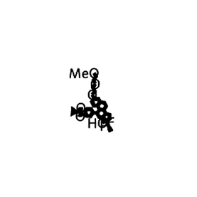 C#CC(F)(F)C1(O)CCC2C3CCc4cc(OCCOCCOC)ccc4C3C(c3ccc(S(=O)(=O)C4CC4)cc3)CC21C